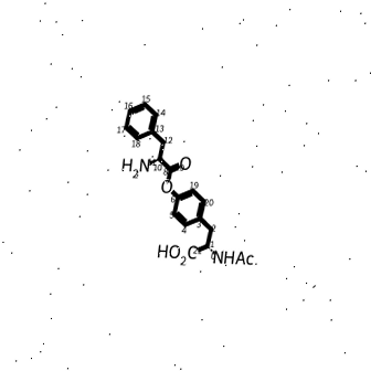 CC(=O)N[C@@H](Cc1ccc(OC(=O)[C@@H](N)Cc2ccccc2)cc1)C(=O)O